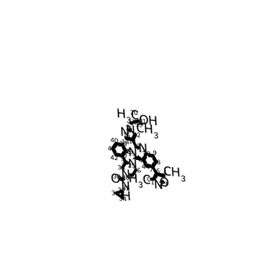 Cc1noc(C)c1-c1ccc2nc(-c3cnn(CC(C)(C)O)c3)nc(N3CCN(C(=O)NC4CC4)CC3c3ccccc3)c2c1